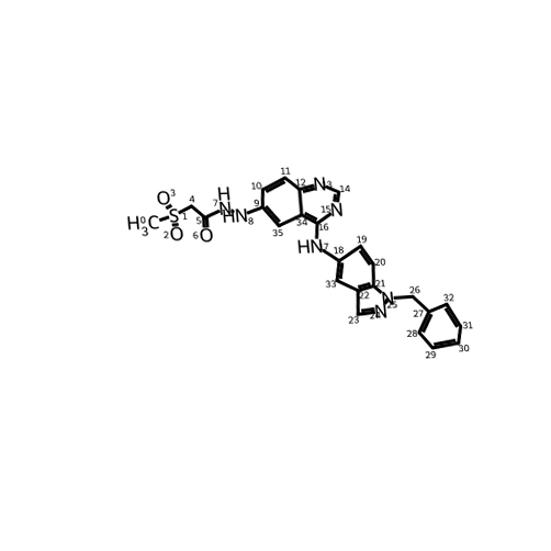 CS(=O)(=O)CC(=O)NNc1ccc2ncnc(Nc3ccc4c(cnn4Cc4ccccc4)c3)c2c1